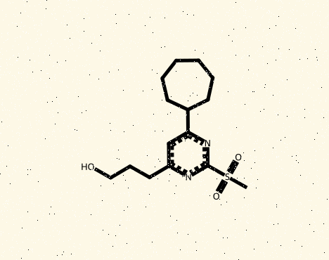 CS(=O)(=O)c1nc(CCCO)cc(C2CCCCCC2)n1